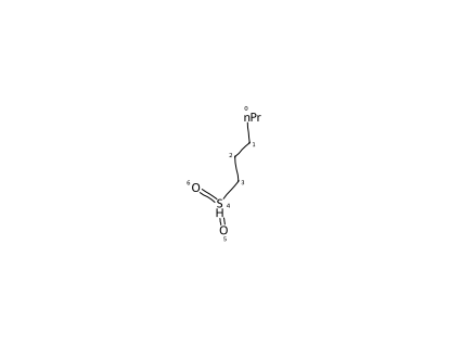 [CH2]CCCCC[SH](=O)=O